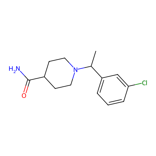 CC(c1cccc(Cl)c1)N1CCC(C(N)=O)CC1